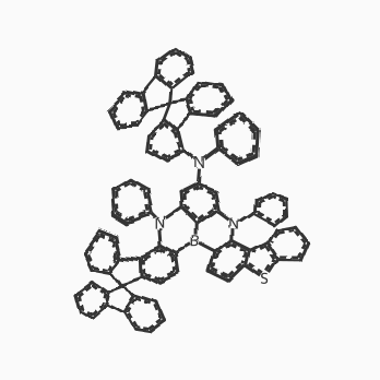 c1ccc(N(c2cc3c4c(c2)N(c2ccccc2)c2c(ccc5sc6ccccc6c25)B4c2ccc4c(c2N3c2ccccc2)-c2ccccc2C42c3ccccc3-c3ccccc32)c2cccc3c2-c2ccccc2C32c3ccccc3-c3ccccc32)cc1